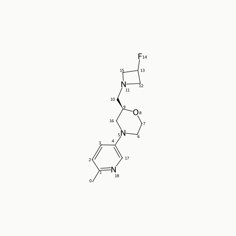 Cc1ccc(N2CCO[C@H](CN3CC(F)C3)C2)cn1